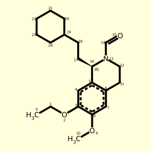 CCOc1cc2c(cc1OC)CCN(C=O)[C@@H]2CCC1CCCCC1